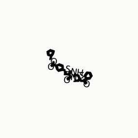 Nc1sc(-c2ccc(C(=O)OCc3ccccc3)cc2)cc1C(=O)N1CCC2(CC1)CC(=O)c1ccccc1S2